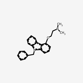 CN(C)CCOc1cccc2c1c1ccccc1n2Cc1ccccc1